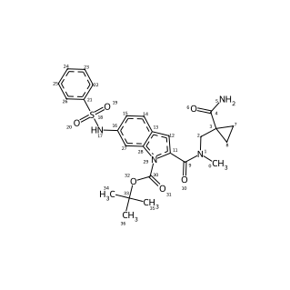 CN(CC1(C(N)=O)CC1)C(=O)c1cc2ccc(NS(=O)(=O)c3ccccc3)cc2n1C(=O)OC(C)(C)C